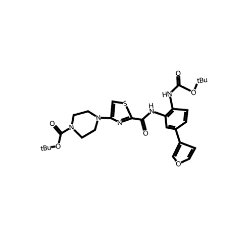 CC(C)(C)OC(=O)Nc1ccc(-c2ccoc2)cc1NC(=O)c1nc(N2CCN(C(=O)OC(C)(C)C)CC2)cs1